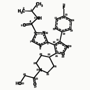 CC(C)NC(=O)c1csc(-c2c(-c3ccc(F)cc3)noc2C2CCN(C(=O)CO)CC2)n1